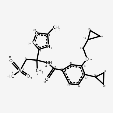 Cc1nc(C(C)(CS(C)(=O)=O)NC(=O)c2ccc(C3CC3)c(OCC3CC3)c2)no1